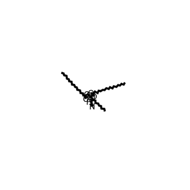 CCCCCCCCCCCCCCCCCC(=O)O[SiH](OOC(CCCCCCCC)SC#N)OC(=O)CCCCCCCCCCCCCCCCC